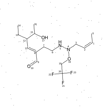 C/C=C\CN(NCC/C(C=O)=C\C(CC)C(C)O)OCC(F)(F)F